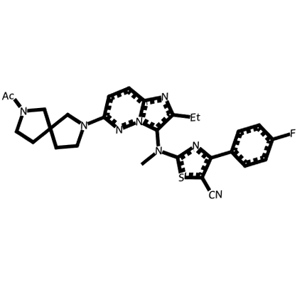 CCc1nc2ccc(N3CCC4(CCN(C(C)=O)C4)C3)nn2c1N(C)c1nc(-c2ccc(F)cc2)c(C#N)s1